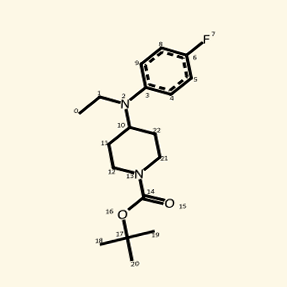 CCN(c1ccc(F)cc1)C1CCN(C(=O)OC(C)(C)C)CC1